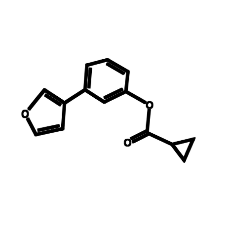 O=C(Oc1cccc(-c2ccoc2)c1)C1CC1